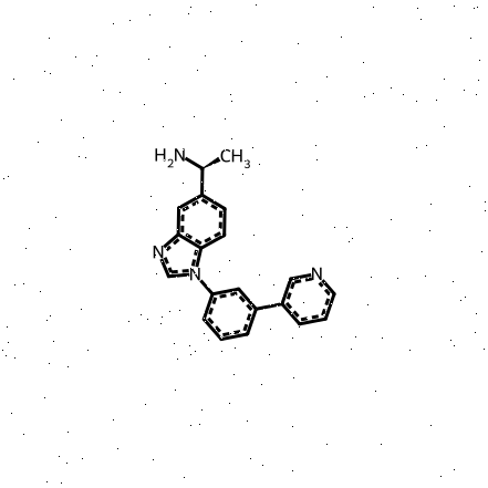 C[C@H](N)c1ccc2c(c1)ncn2-c1cccc(-c2cccnc2)c1